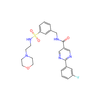 O=C(NCc1cccc(S(=O)(=O)NCCN2CCOCC2)c1)c1cnc(-c2cccc(F)c2)nc1